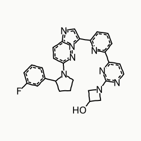 OC1CN(c2nccc(-c3cccc(-c4cnc5ccc(N6CCCC6c6cccc(F)c6)nn45)n3)n2)C1